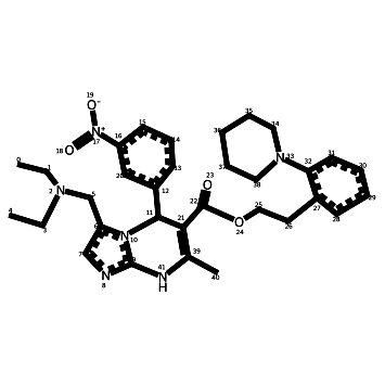 CCN(CC)Cc1cnc2n1C(c1cccc([N+](=O)[O-])c1)C(C(=O)OCCc1ccccc1N1CCCCC1)=C(C)N2